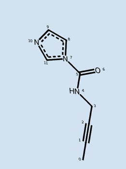 CC#CCNC(=O)n1ccnc1